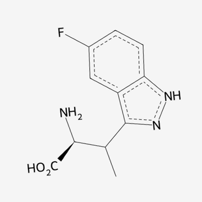 CC(c1n[nH]c2ccc(F)cc12)[C@H](N)C(=O)O